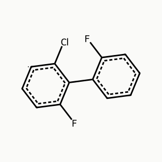 Fc1ccccc1-c1c(Cl)[c]ccc1F